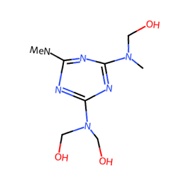 CNc1nc(N(C)CO)nc(N(CO)CO)n1